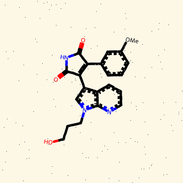 COc1cccc(C2=C(c3cn(CCCO)c4ncccc34)C(=O)NC2=O)c1